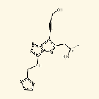 C[C@H](N)Cc1sc2c(NCc3cccs3)snc2c1C#CCO